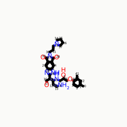 Cc1ccc(OC[C@H](O)CNC(/C=C\N)=C(/C=O)c2nc3cc4c(cc3[nH]2)C(=O)N(CCCN2CCCC2)C4=O)c(C)c1